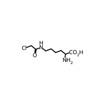 NC(CCCCNC(=O)CCl)C(=O)O